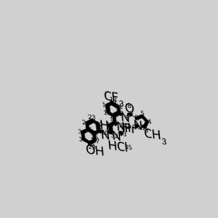 CC(C)N1[C@H](C)CC[C@H]1C(=O)Nc1cc(C(F)(F)F)ccc1-c1cc(Nc2cccc3c2CC(O)CC3)ncn1.Cl